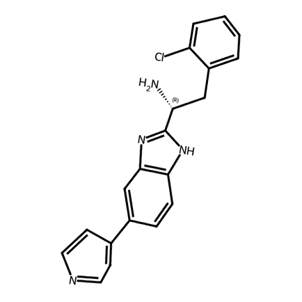 N[C@H](Cc1ccccc1Cl)c1nc2cc(-c3ccncc3)ccc2[nH]1